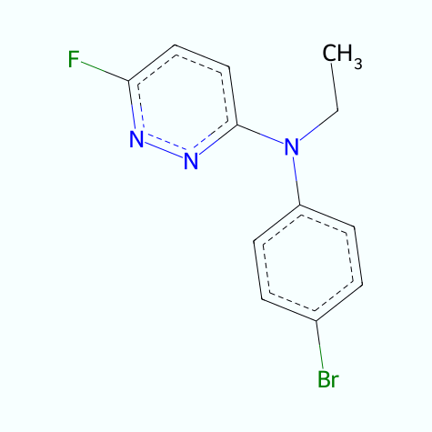 CCN(c1ccc(Br)cc1)c1ccc(F)nn1